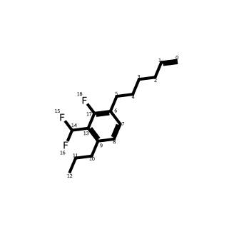 C=CCCCCc1ccc(CCC)c(C(F)F)c1F